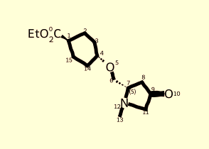 CCOC(=O)[C@H]1CC[C@H](OC[C@@H]2CC(=O)CN2C)CC1